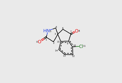 O=C1CC2(CN1)CC(=O)c1c(Cl)cccc12